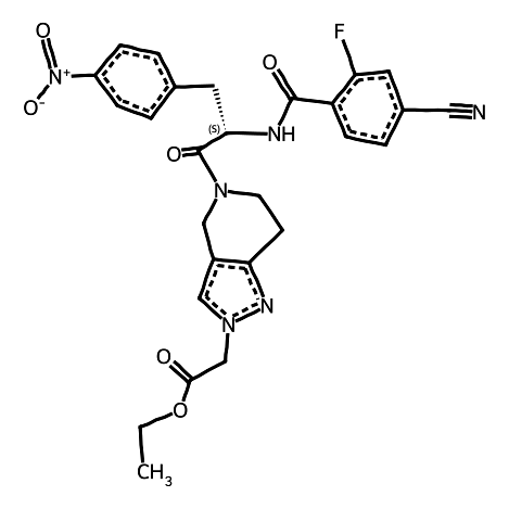 CCOC(=O)Cn1cc2c(n1)CCN(C(=O)[C@H](Cc1ccc([N+](=O)[O-])cc1)NC(=O)c1ccc(C#N)cc1F)C2